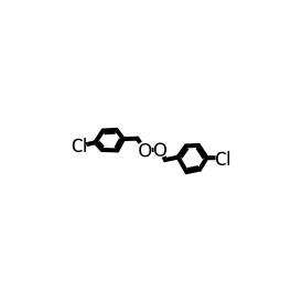 Clc1ccc(COOCc2ccc(Cl)cc2)cc1